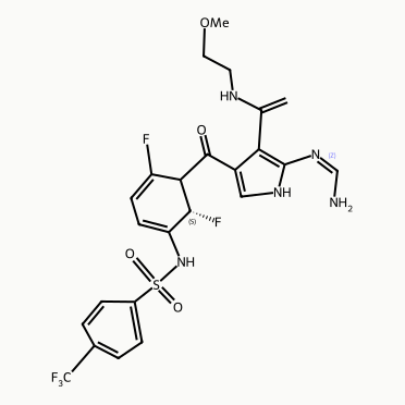 C=C(NCCOC)c1c(C(=O)C2C(F)=CC=C(NS(=O)(=O)c3ccc(C(F)(F)F)cc3)[C@H]2F)c[nH]c1/N=C\N